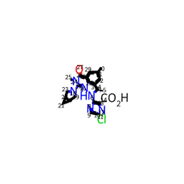 Cc1cc([C@@H](C)Nc2ncc(Cl)nc2C(=O)O)c2nc(N3CC4CC4C3)n(C)c(=O)c2c1